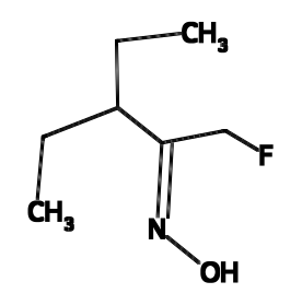 CCC(CC)C(CF)=NO